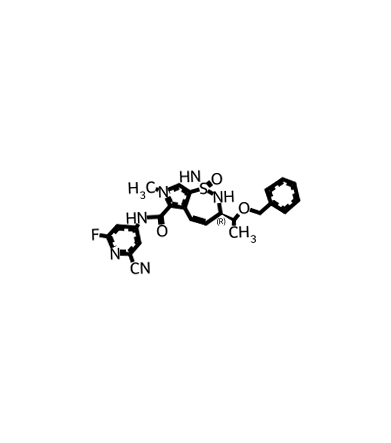 CC(OCc1ccccc1)[C@H]1C=Cc2c(cn(C)c2C(=O)Nc2cc(F)nc(C#N)c2)S(=N)(=O)N1